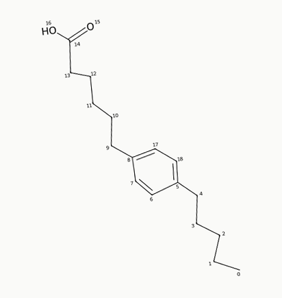 CCCCCc1ccc(CCCCCC(=O)O)cc1